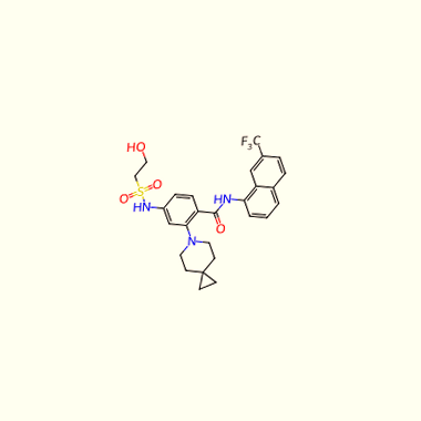 O=C(Nc1cccc2ccc(C(F)(F)F)cc12)c1ccc(NS(=O)(=O)CCO)cc1N1CCC2(CC1)CC2